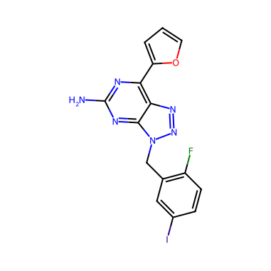 Nc1nc(-c2ccco2)c2nnn(Cc3cc(I)ccc3F)c2n1